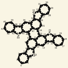 c1ccc2c(c1)sc1c2cc2c3c1cc1c4ccccc4sc1c3c1cc3c4ccccc4sc3c3cc4c5ccccc5sc4c2c31